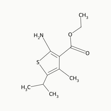 CCOC(=O)c1c(N)sc(C(C)C)c1C